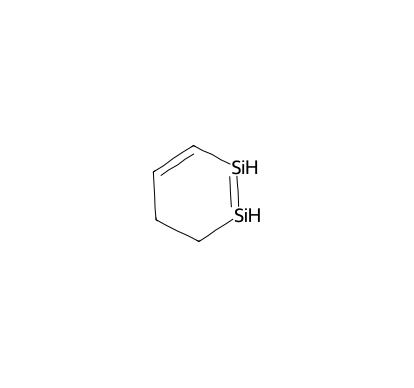 C1=C[SiH]=[SiH]CC1